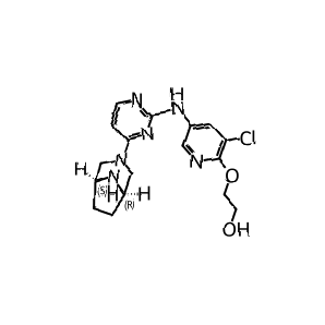 OCCOc1ncc(Nc2nccc(N3C[C@H]4CC[C@@H](C3)N4)n2)cc1Cl